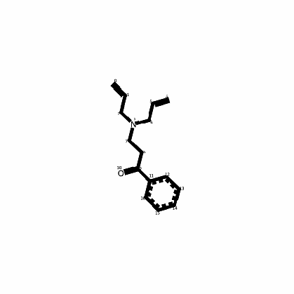 C=CCN(CC=C)CCC(=O)c1ccccc1